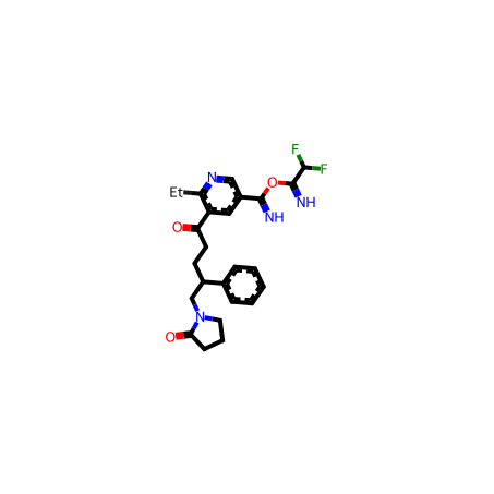 CCc1ncc(C(=N)OC(=N)C(F)F)cc1C(=O)CCC(CN1CCCC1=O)c1ccccc1